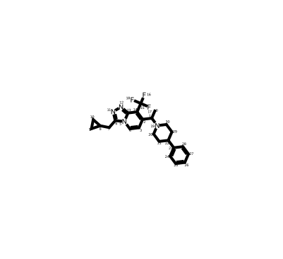 CC(c1ccn2c(CC3CC3)nnc2c1C(F)(F)F)N1CCC(c2ccccc2)CC1